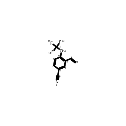 C=Cc1cc(C#N)ccc1OC(F)(F)F